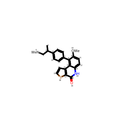 CNCC(C)c1ccc(-c2c(OC)ccc3[nH]c(=O)c4sccc4c23)cc1